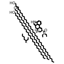 CCCCCCCCCCCCCCCCCCCCCCCCCCCCCCCCCCCCCO.CCCCCCCCCCCCCCCCCCCCCCCCCCCCCCCCO.CCCCCCCCCCCCCCCCCCCCCCCCCCCCCO.CCN(CC)C(=O)[C@@H]1C=C2c3cccc4[nH]cc(c34)C[C@H]2N(C)C1.[CH2]C(CC)CCCC